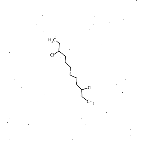 CCC(Cl)CC[CH]CCCC(Cl)CC